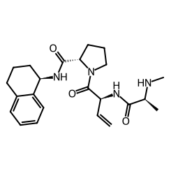 C=C[C@H](NC(=O)[C@H](C)NC)C(=O)N1CCC[C@H]1C(=O)N[C@@H]1CCCc2ccccc21